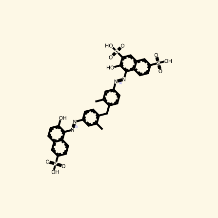 Cc1cc(/N=N/c2c(O)ccc3cc(S(=O)(=O)O)ccc23)ccc1Cc1ccc(/N=N/c2c(O)c(S(=O)(=O)O)cc3cc(S(=O)(=O)O)ccc23)cc1C